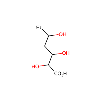 CCC(O)CC(O)C(O)C(=O)O